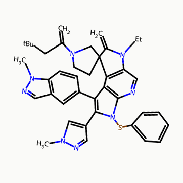 C=C(CC(C)(C)C)N1CCC2(C1)C(=C)N(CC)c1cnc3c(c(-c4ccc5c(cnn5C)c4)c(-c4cnn(C)c4)n3Sc3ccccc3)c12